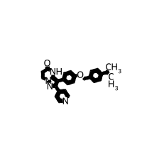 CC(C)c1ccc(COc2ccc(-c3c(-c4ccncc4)nn4c3NC(=O)CC4)cc2)cc1